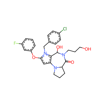 O=C1C2CCCN2c2cc(Oc3cccc(F)c3)n(Cc3ccc(Cl)cc3)c2C(O)N1CCCO